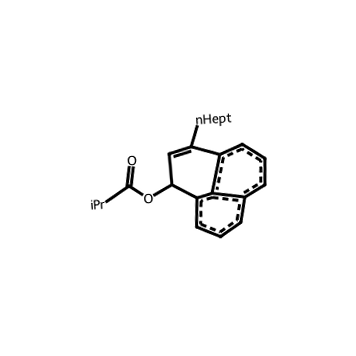 CCCCCCCC1=CC(OC(=O)C(C)C)c2cccc3cccc1c23